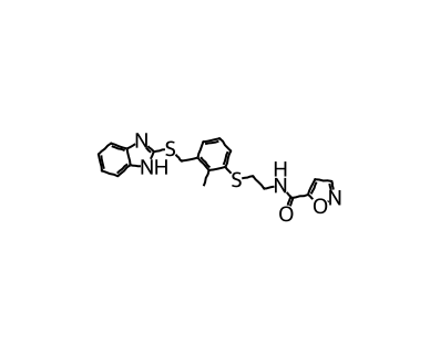 Cc1c(CSc2nc3ccccc3[nH]2)cccc1SCCNC(=O)c1ccno1